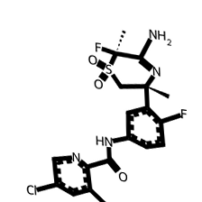 Cc1cc(Cl)cnc1C(=O)Nc1ccc(F)c([C@]2(C)CS(=O)(=O)[C@@](C)(F)C(N)=N2)c1